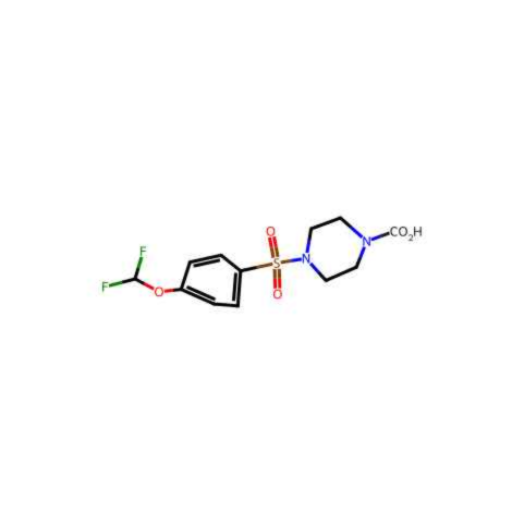 O=C(O)N1CCN(S(=O)(=O)c2ccc(OC(F)F)cc2)CC1